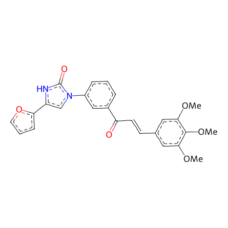 COc1cc(C=CC(=O)c2cccc(-n3cc(-c4ccco4)[nH]c3=O)c2)cc(OC)c1OC